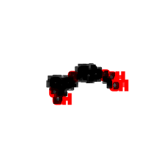 Cc1cc(OC[C@H](O)CO)cc(C)c1-c1cccc(COc2ccc3c(c2)-c2ccccc2C3CC(=O)O)c1C